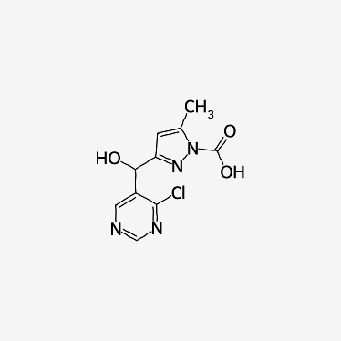 Cc1cc(C(O)c2cncnc2Cl)nn1C(=O)O